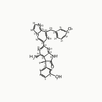 CC1(c2cccc(O)c2)C(=O)Nc2nc(-c3cn4ccnc4c(Cc4cccc(Cl)c4)n3)nc(N)c21